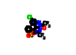 CS(=O)(=O)c1ccccc1-c1nc(C(F)(F)F)nc(N(N)C(=O)C(F)(F)F)c1-c1ccc(Cl)cc1